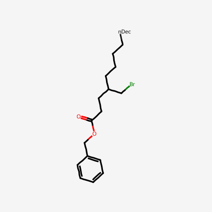 CCCCCCCCCCCCCCC(CBr)CCC(=O)OCc1ccccc1